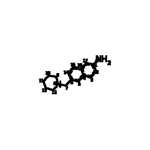 Nc1ccc2cc(CN3CCCCC3)ccc2c1